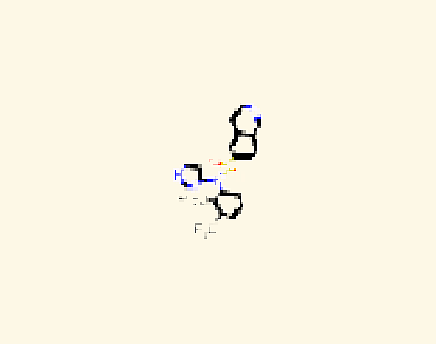 COc1c(N(c2ccncn2)S(=O)(=O)c2ccc3cnccc3c2)cccc1C(F)(F)F